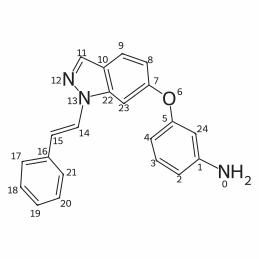 Nc1cccc(Oc2ccc3cnn(/C=C/c4ccccc4)c3c2)c1